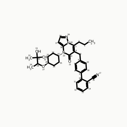 CCCc1c(Cc2ccc(-c3ccccc3C#N)cc2)c(=O)n([C@H]2CC[C@H](OC(C)C(C)(C)O)CC2)c2ccnn12